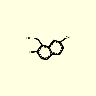 CCOC(=O)Cc1c(Cl)ccc2ccc(C#N)cc12